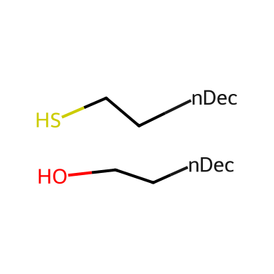 CCCCCCCCCCCCO.CCCCCCCCCCCCS